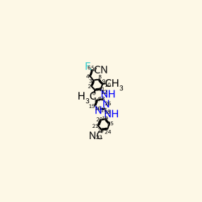 Cc1cc(/C=C(/F)C#N)cc(C)c1Nc1ccnc(Nc2ccc(C#N)cc2)n1